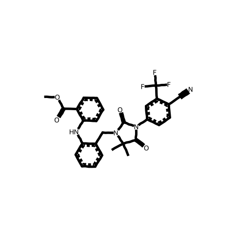 COC(=O)c1ccccc1Nc1ccccc1CN1C(=O)N(c2ccc(C#N)c(C(F)(F)F)c2)C(=O)C1(C)C